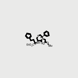 CCOC(=O)[C@@H](CCc1ccccc1)N[C@H]1CSC[C@@H](c2ccccc2)N(CC(=O)OC(C)(C)C)C1=O